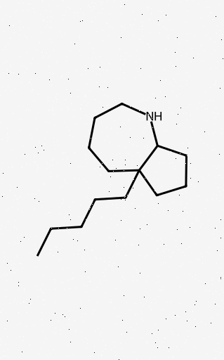 CCCCCC12CCCCNC1CCC2